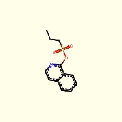 CCCS(=O)(=O)Oc1nccc2ccccc12